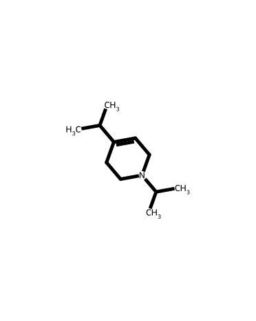 CC(C)C1=CCN(C(C)C)CC1